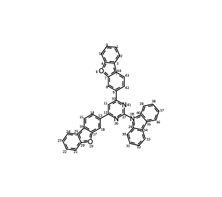 c1ccc2c(c1)oc1cc(-c3cc(-c4ccc5c(c4)oc4ccccc45)nc(-n4c5ccccc5c5ccccc54)n3)ccc12